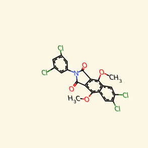 COc1c2c(c(OC)c3cc(Cl)c(Cl)cc13)C(=O)N(c1cc(Cl)cc(Cl)c1)C2=O